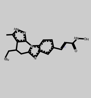 Cc1[nH]nc2c1C(CC(C)(C)C)Cc1nc3cc(/C=C/C(=O)NO)ccc3n1-2